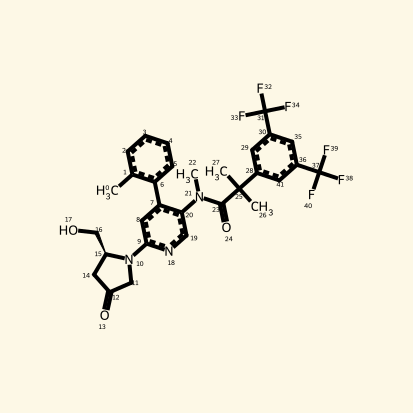 Cc1ccccc1-c1cc(N2CC(=O)C[C@H]2CO)ncc1N(C)C(=O)C(C)(C)c1cc(C(F)(F)F)cc(C(F)(F)F)c1